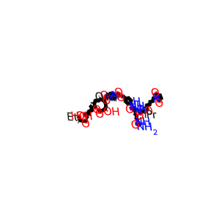 CC[C@H](O)[C@@H](C)[C@H]1O[C@@H]1CC(C)(O)/C=C/C=C(\C)[C@H]1OC(=O)C[C@H](O)CC[C@@](C)(OC(=O)N2CCN(C(=O)OCc3ccc(NC(=O)[C@H](CCCNC(N)=O)NC(=O)[C@@H](NC(=O)CCCCCN4C(=O)C=CC4=O)C(C)C)cc3)CC2)[C@@H](OC(C)=O)/C=C/[C@@H]1C